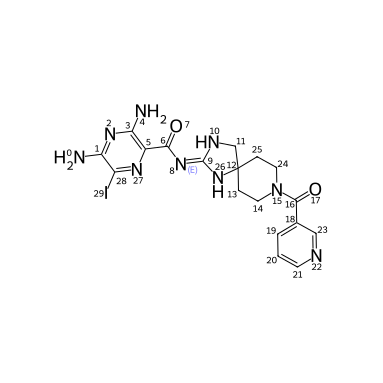 Nc1nc(N)c(C(=O)/N=C2\NCC3(CCN(C(=O)c4cccnc4)CC3)N2)nc1I